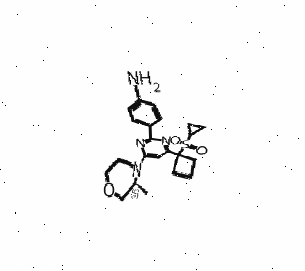 C[C@H]1COCCN1c1cc(C2(S(=O)(=O)C3CC3)CCC2)nc(-c2ccc(N)cc2)n1